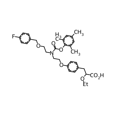 CCOC(Cc1ccc(OCCN(CCOCc2ccc(F)cc2)C(=O)Oc2c(C)cc(C)cc2C)cc1)C(=O)O